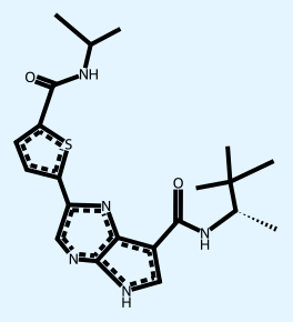 CC(C)NC(=O)c1ccc(-c2cnc3[nH]cc(C(=O)N[C@@H](C)C(C)(C)C)c3n2)s1